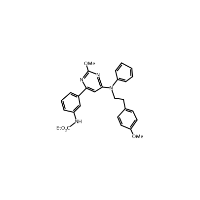 CCOC(=O)Nc1cccc(-c2cc(N(CCc3ccc(OC)cc3)c3ccccc3)nc(OC)n2)c1